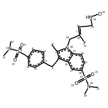 Cc1c(Cc2ccc(S(=O)(=O)N(C)C)cc2)c2cc(S(=O)(=O)N(C)C)ccc2n1C/C(F)=C/CNCl